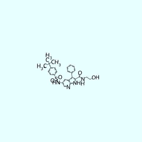 CC(C)(C)c1ccc(S(=O)(=O)Nc2cnc3[nH]c(C(=O)NCCO)c(-c4ccccc4)c3c2)cc1